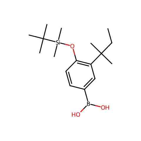 CCC(C)(C)c1cc(B(O)O)ccc1O[Si](C)(C)C(C)(C)C